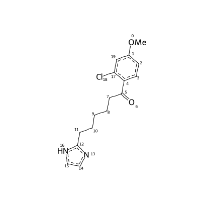 COc1ccc(C(=O)CCCCCc2ncc[nH]2)c(Cl)c1